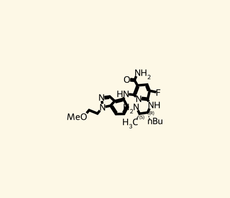 CCCC[C@@H](Nc1nc(Nc2cccc3c2cnn3CCOC)c(C(N)=O)cc1F)[C@H](C)N